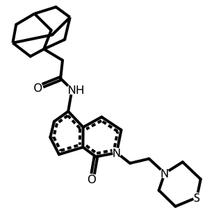 O=C(CC12CC3CC(CC(C3)C1)C2)Nc1cccc2c(=O)n(CCN3CCSCC3)ccc12